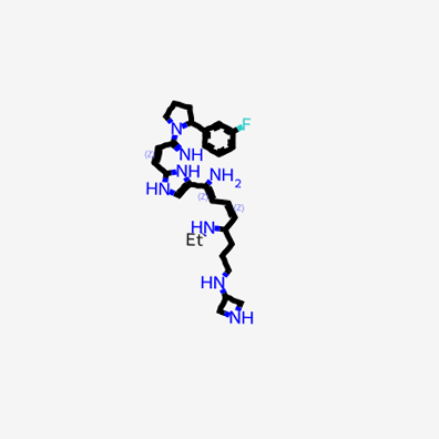 CCNC(/C=C\C=C(/N)C1=CNC(/C=C\C(=N)N2CCCC2c2cccc(F)c2)N1)CCCNC1CNC1